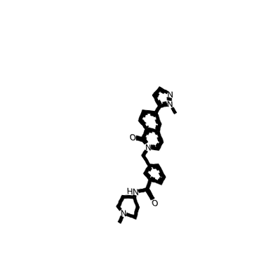 CN1CCC(NC(=O)c2cccc(Cn3ccc4cc(-c5ccnn5C)ccc4c3=O)c2)CC1